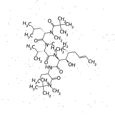 C/C=C/C[C@@H](C)[C@@H](O)[C@@H](C(=O)NC(CC)C(=O)N(C)C(C)(C)C)N(C)C(=O)[C@H](C(C)C)N(C)C(=O)[C@H](CC(C)C)N(C)C(=O)C(C)(C)C